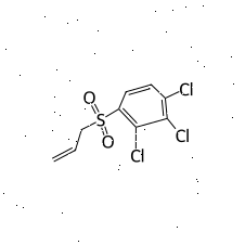 C=CCS(=O)(=O)c1ccc(Cl)c(Cl)c1Cl